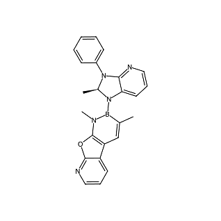 CC1=Cc2c(oc3ncccc23)N(C)B1N1c2cccnc2N(c2ccccc2)[C@@H]1C